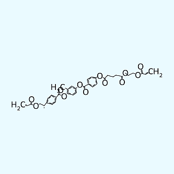 C=CC(=O)OC[CH]c1ccc(C(=O)Oc2ccc(OC(=O)c3ccc(OC(=O)CCCC(=O)OCCOC(=O)C=C)cc3)cc2C)cc1